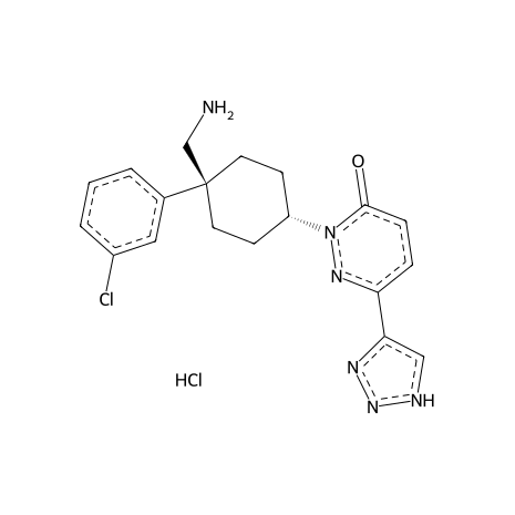 Cl.NC[C@]1(c2cccc(Cl)c2)CC[C@@H](n2nc(-c3c[nH]nn3)ccc2=O)CC1